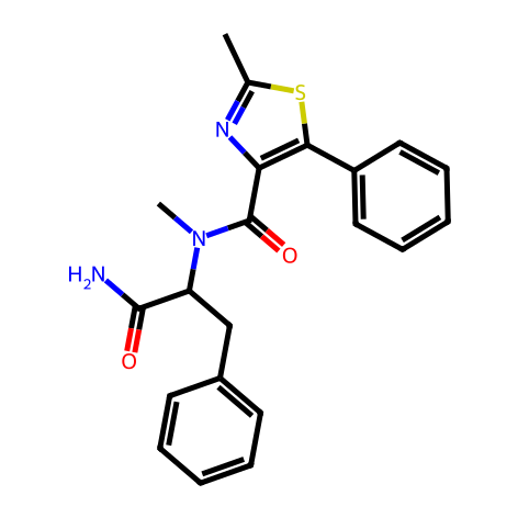 Cc1nc(C(=O)N(C)C(Cc2ccccc2)C(N)=O)c(-c2ccccc2)s1